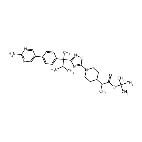 CC(C)C(C)(c1ccc(-c2cnc(N)nc2)cc1)c1noc(N2CCC(N(C)C(=O)OC(C)(C)C)CC2)n1